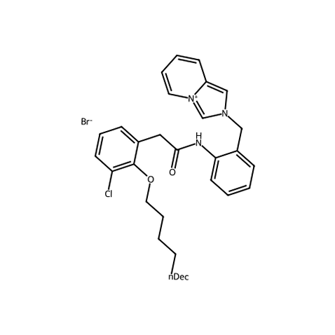 CCCCCCCCCCCCCCOc1c(Cl)cccc1CC(=O)Nc1ccccc1Cn1cc2cccc[n+]2c1.[Br-]